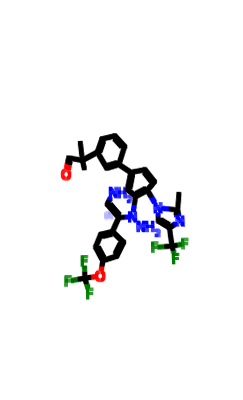 Cc1nc(C(F)(F)F)cn1-c1ccc(-c2cccc(C(C)(C)C=O)c2)cc1N(N)/C(=C\N)c1ccc(OC(F)(F)F)cc1